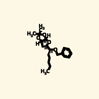 CCCCC[C@H](OCc1ccccc1)[C@H]1C[C@H]2OC(C)(C)O[C@H]2O1